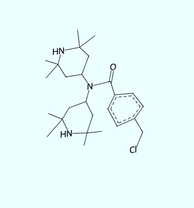 CC1(C)CC(N(C(=O)c2ccc(CCl)cc2)C2CC(C)(C)NC(C)(C)C2)CC(C)(C)N1